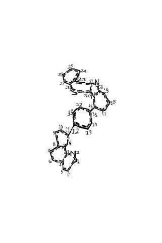 c1cnc2c(c1)ccc1ccc(-c3ccc(-c4cccc5nc6c7ccccc7sc6n45)cc3)nc12